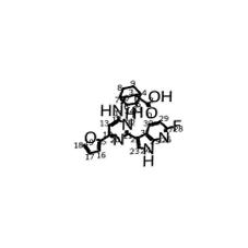 O=C(O)[C@H]1C2CCC(CC2)[C@@H]1Nc1cc(-c2ccco2)nc(-c2c[nH]c3nc(F)ccc23)n1